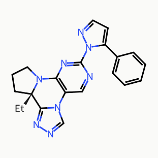 CC[C@@]12CCCN1c1nc(-n3nccc3-c3ccccc3)ncc1-n1cnnc12